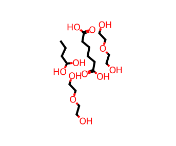 CCCC(O)O.O=C(O)CCCCC(=O)O.OCCOCCO.OCCOCCO